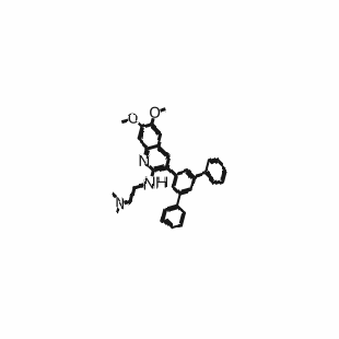 COc1cc2cc(-c3cc(-c4ccccc4)cc(-c4ccccc4)c3)c(NCCN(C)C)nc2cc1OC